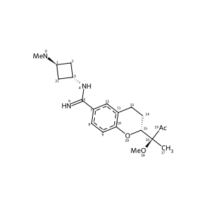 CN[C@H]1C[C@H](NC(=N)c2ccc3c(c2)CC[C@H]([C@](C)(OC)C(C)=O)O3)C1